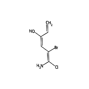 C=C/C(O)=C\C(Br)=C(/N)Cl